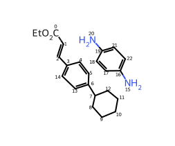 CCOC(=O)C=Cc1ccc(C2CCCCC2)cc1.Nc1ccc(N)cc1